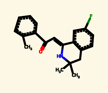 Cc1ccccc1C(=O)C=C1NC(C)(C)Cc2ccc(F)cc21